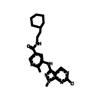 Cc1ncc(C(=O)NCCC2CCCCC2)cc1Nc1nn(C)c2nc(Cl)ncc12